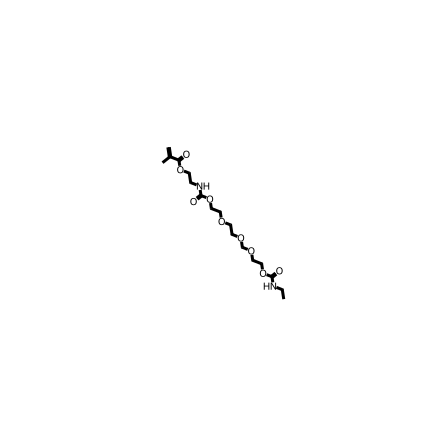 C=C(C)C(=O)OCCNC(=O)OCCOCCOCOCCOC(=O)NCC